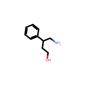 NCC(CCO)c1ccccc1